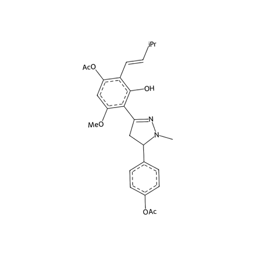 COc1cc(OC(C)=O)c(C=CC(C)C)c(O)c1C1=NN(C)C(c2ccc(OC(C)=O)cc2)C1